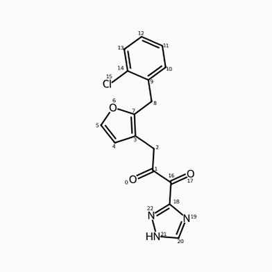 O=C(Cc1ccoc1Cc1ccccc1Cl)C(=O)c1nc[nH]n1